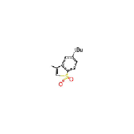 CC1=CS(=O)(=O)c2ccc(C(C)(C)C)cc21